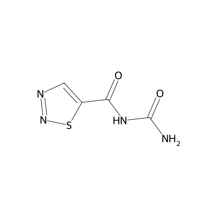 NC(=O)NC(=O)c1cnns1